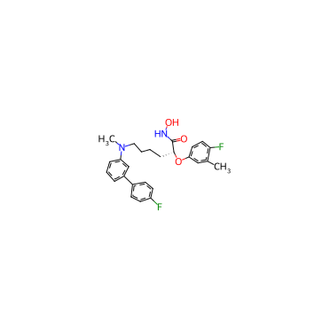 Cc1cc(O[C@H](CCCCN(C)c2cccc(-c3ccc(F)cc3)c2)C(=O)NO)ccc1F